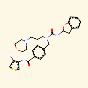 Nc1cscc1NC(=O)c1ccc(CN(CCCN2CCOCC2)C(=O)NC2Cc3ccccc3O2)cc1